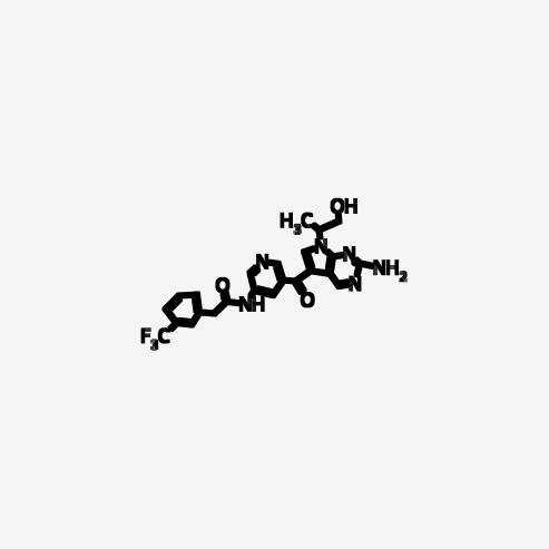 CC(CO)n1cc(C(=O)c2cncc(NC(=O)Cc3cccc(C(F)(F)F)c3)c2)c2cnc(N)nc21